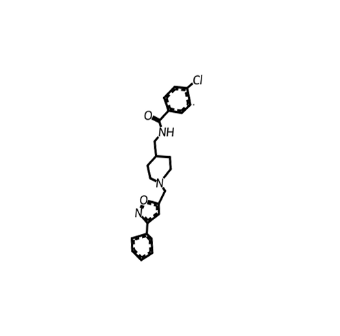 O=C(NCC1CCN(Cc2cc(-c3ccccc3)no2)CC1)c1c[c]c(Cl)cc1